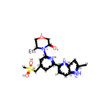 CCC1COCC(=O)N1c1cc(CS(C)(=O)=O)cc(-c2ccc3[nH]c(C)cc3n2)n1